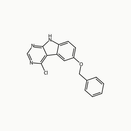 Clc1ncnc2[nH]c3ccc(OCc4ccccc4)cc3c12